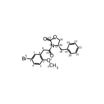 COc1ccc(Br)cc1CC(=O)N1C(=O)OC[C@H]1Cc1ccccc1